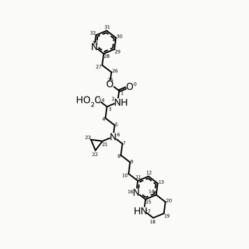 O=C(NC(CCN(CCCCc1ccc2c(n1)NCCC2)C1CC1)C(=O)O)OCCc1ccccn1